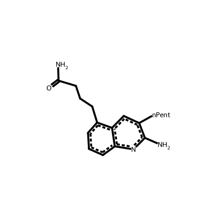 CCCCCc1cc2c(CCCC(N)=O)cccc2nc1N